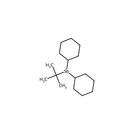 C[C](C)(C)[Sb]([CH]1CCCCC1)[CH]1CCCCC1